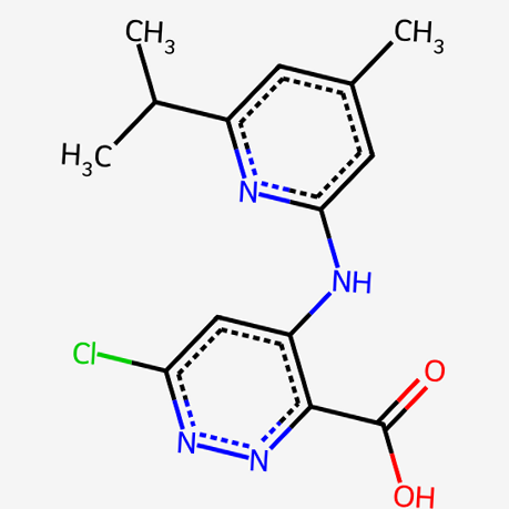 Cc1cc(Nc2cc(Cl)nnc2C(=O)O)nc(C(C)C)c1